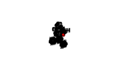 O=C([C@@H]1CCC[N+](C(=O)c2cc(-c3ccccc3)cc(-c3ccccc3)c2)(C2CCNCC2)C1)N1CCOCC1